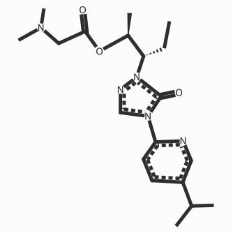 CC[C@@H]([C@H](C)OC(=O)CN(C)C)n1ncn(-c2ccc(C(C)C)cn2)c1=O